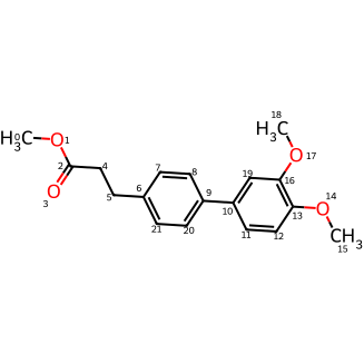 COC(=O)CCc1ccc(-c2ccc(OC)c(OC)c2)cc1